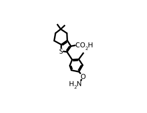 Cc1cc(ON)ccc1-c1sc2c(c1C(=O)O)CC(C)(C)CC2